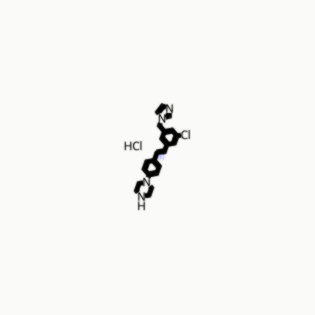 Cl.Clc1cc(/C=C/c2ccc(N3CCNCC3)cc2)cc(Cn2ccnc2)c1